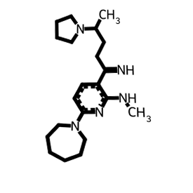 CNc1nc(N2CCCCCC2)ccc1C(=N)CCC(C)N1CCCC1